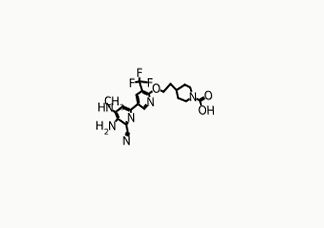 CNc1cc(-c2cnc(OCCC3CCN(C(=O)O)CC3)c(C(F)(F)F)c2)nc(C#N)c1N